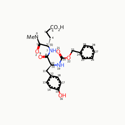 CNC(=O)[C@H](CCC(=O)O)NC(=O)[C@H](Cc1ccc(O)cc1)NC(=O)OCc1ccccc1